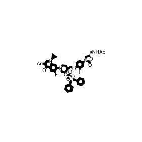 CC(=O)NC[C@H]1CN(c2ccc(OCC3(OP(=O)(OCc4ccccc4)OCc4ccccc4)CCN(c4cc5c(cc4F)c(=O)c(C(C)=O)cn5C4CC4)CC3)c(F)c2)C(=O)O1